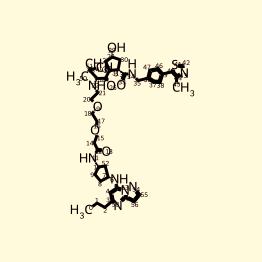 CCCc1cc(N[C@@H]2CC[C@@H](NC(=O)CCOCCOCCN[C@H](C(=O)C3C[C@H](O)C[C@H]3C(=O)NCc3ccc(-c4scnc4C)cc3)C(C)(C)C)C2)n2nccc2n1